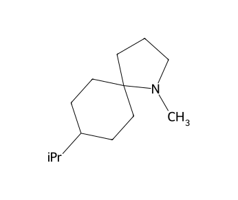 CC(C)C1CCC2(CCCN2C)CC1